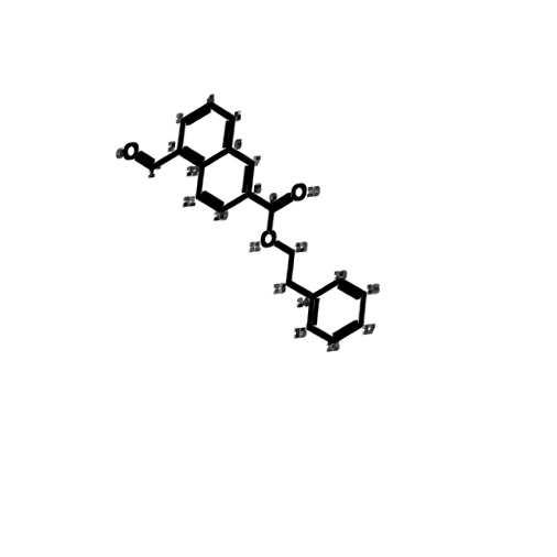 O=[C]c1cccc2cc(C(=O)OCCc3ccccc3)ccc12